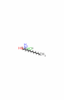 CCCCCCCCCCCCC(N)CO.Cl